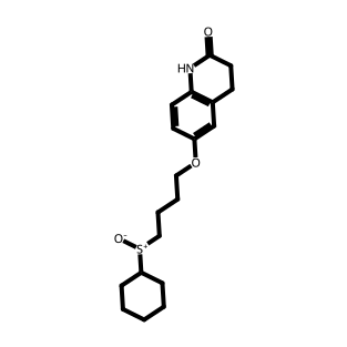 O=C1CCc2cc(OCCCC[S+]([O-])C3CCCCC3)ccc2N1